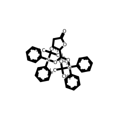 CC(C)(C)[Si](OC(O[Si](c1ccccc1)(c1ccccc1)C(C)(C)C)C1CCC(=O)O1)(c1ccccc1)c1ccccc1